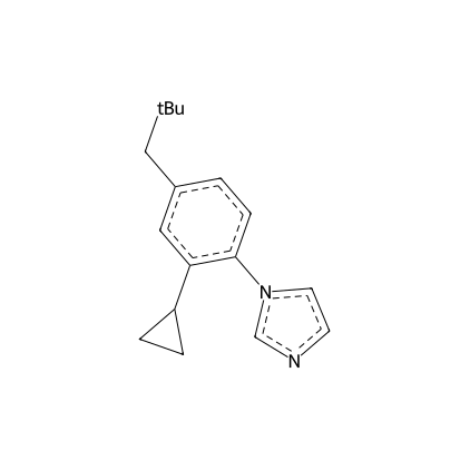 CC(C)(C)Cc1ccc(-n2ccnc2)c(C2CC2)c1